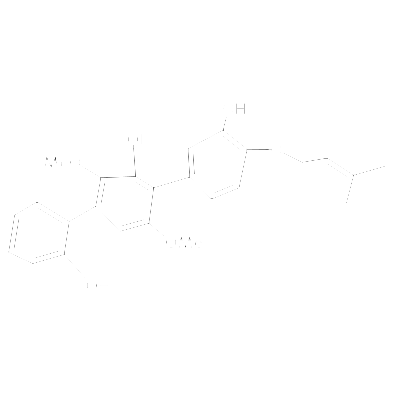 COc1cc(-c2ccccc2O)c(OC)c(O)c1-c1ccc(OCC=C(C)C)c(O)c1